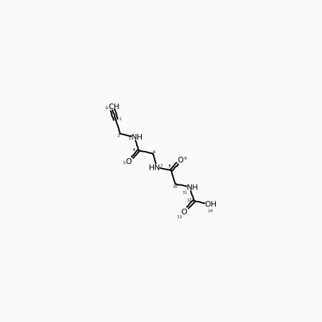 C#CCNC(=O)CNC(=O)CNC(=O)O